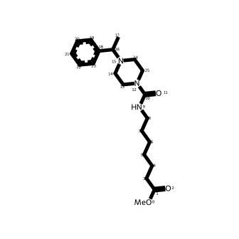 COC(=O)CCCCCCNC(=O)N1CCN(C(C)c2ccccc2)CC1